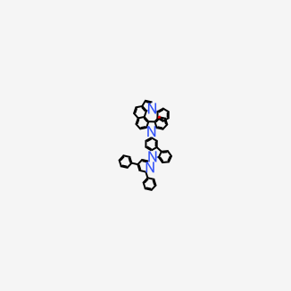 c1ccc(-c2cc(-c3ccccc3)nc(-n3c4ccccc4c4cc(-n5c6ccccc6c6c7c(ccc8ccn(-c9ccccc9)c87)ccc65)ccc43)c2)cc1